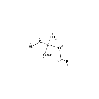 CCSOC(C)(OC)SCC